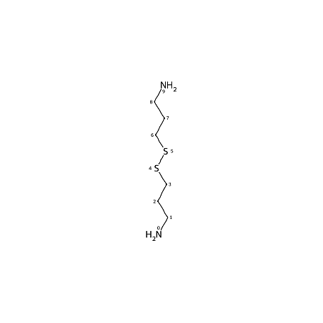 NCCCSSCCCN